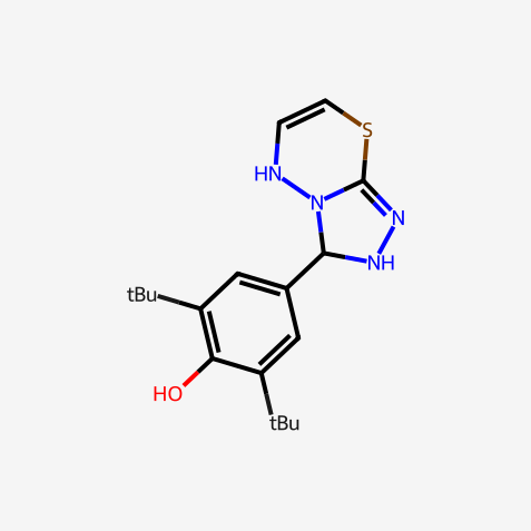 CC(C)(C)c1cc(C2NN=C3SC=CNN32)cc(C(C)(C)C)c1O